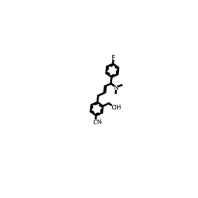 CN(C)C(/C=C/Cc1ccc(C#N)cc1CO)c1ccc(F)cc1